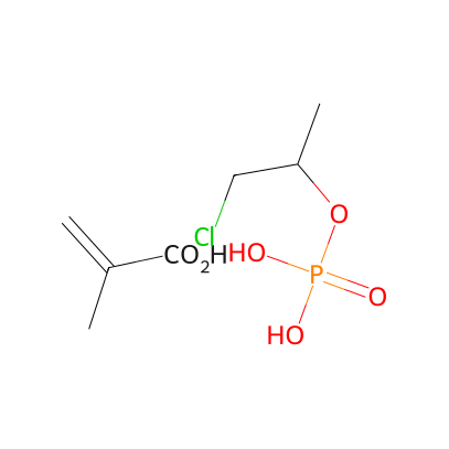 C=C(C)C(=O)O.CC(CCl)OP(=O)(O)O